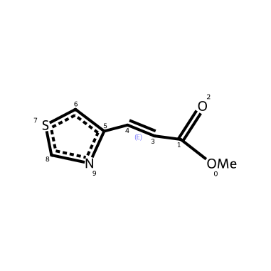 COC(=O)/C=C/c1cscn1